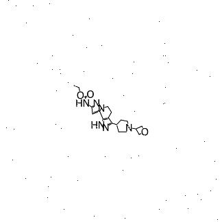 CCOC(=O)Nc1cc2n(n1)CCc1c(C3CCN(C4COC4)CC3)n[nH]c1-2